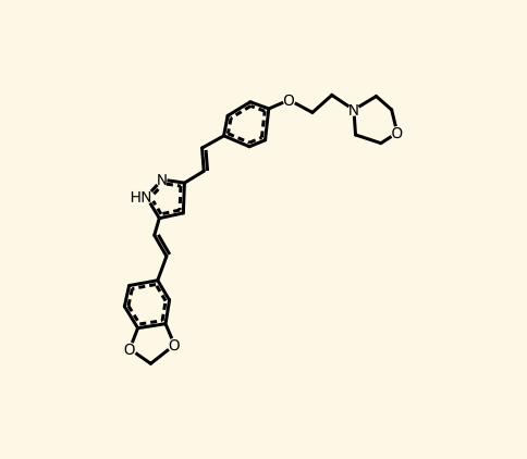 C(=C\c1cc(/C=C/c2ccc3c(c2)OCO3)[nH]n1)/c1ccc(OCCN2CCOCC2)cc1